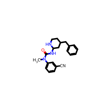 CN(C(=O)NC1CC(Cc2ccccc2)CCN1)c1cccc(C#N)c1